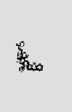 CCC1(OC(=O)CCC(C)=O)C(=O)OCc2c1cc1n(c2=O)Cc2cc3ccccc3nc2-1